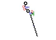 CCCCCCCC/C=C/CCCCCCCCN(C(=O)C(F)(F)F)c1ccc(C(=O)NC(=O)c2ccccc2)cc1